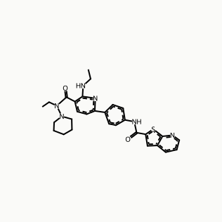 CCNc1nc(-c2ccc(NC(=O)c3cc4cccnc4s3)cc2)ccc1C(=O)N(CC)N1CCCCC1